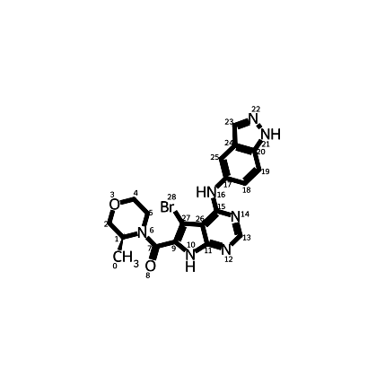 C[C@H]1COCCN1C(=O)c1[nH]c2ncnc(Nc3ccc4[nH]ncc4c3)c2c1Br